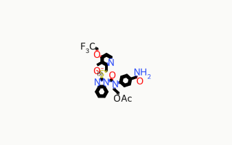 CC(=O)OCCN(C(=O)n1c([S@+]([O-])Cc2nccc(OCC(F)(F)F)c2C)nc2ccccc21)c1ccc(C(N)=O)cc1